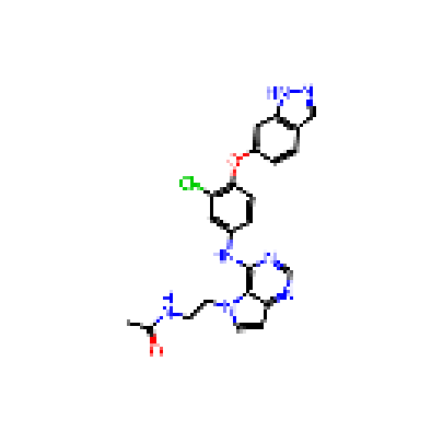 CC(=O)NCCn1ccc2ncnc(Nc3ccc(Oc4ccc5cn[nH]c5c4)c(Cl)c3)c21